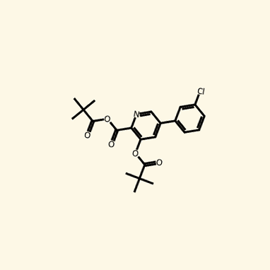 CC(C)(C)C(=O)OC(=O)c1ncc(-c2cccc(Cl)c2)cc1OC(=O)C(C)(C)C